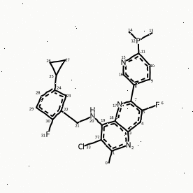 Cc1nc2cc(F)c(-c3ccc(P(C)C)nc3)nc2c(NCc2cc(C3CC3)ccc2F)c1Cl